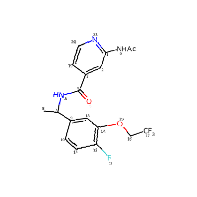 CC(=O)Nc1cc(C(=O)NC(C)c2ccc(F)c(OCC(F)(F)F)c2)ccn1